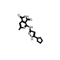 Cc1cc2c(c(Nc3cc(C4CCCC4)[nH]n3)n1)C(=O)NC2=O